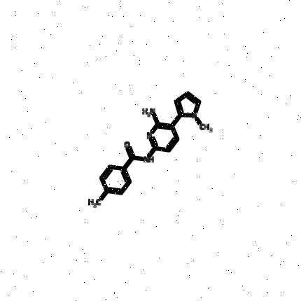 Cc1ccc(C(=O)Nc2ccc(-c3cccn3C)c(N)n2)cc1